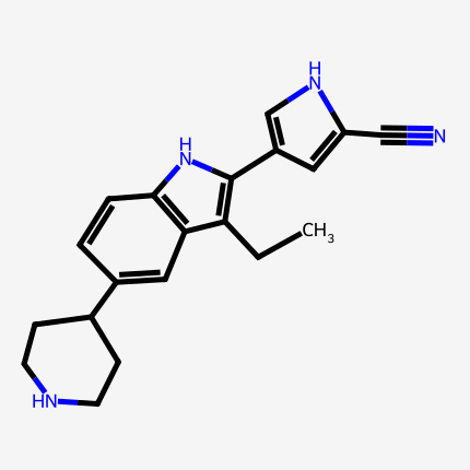 CCc1c(-c2c[nH]c(C#N)c2)[nH]c2ccc(C3CCNCC3)cc12